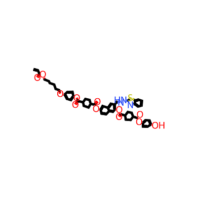 C=CC(=O)OCCCCCCOc1ccc(OC(=O)C2CCC(C(=O)Oc3ccc4cc(OC(=O)C5CCC(C(=O)Oc6ccc(O)cc6)CC5)c(/C=N/Nc5nc6ccccc6s5)cc4c3)CC2)cc1